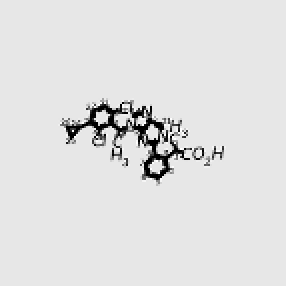 CC(C(=O)O)c1ccccc1-c1ncc2ncn([C@H](C)c3c(Cl)ccc(C4CC4)c3Cl)c2n1